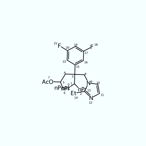 CCCCCC(CCC)C(CC(CCC)OC(C)=O)(Cn1ccnc1CC)c1cc(F)cc(F)c1